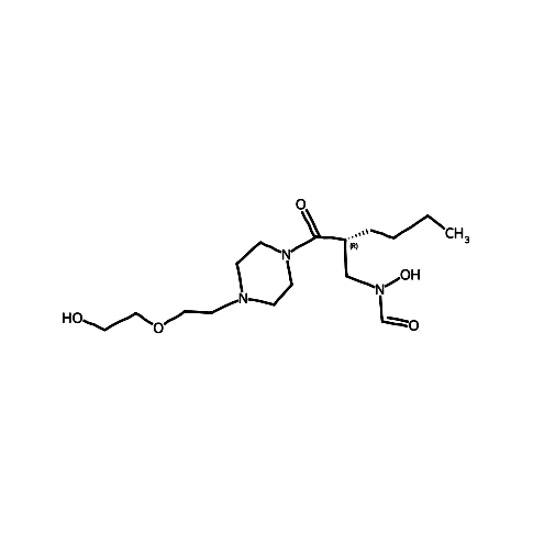 CCCC[C@H](CN(O)C=O)C(=O)N1CCN(CCOCCO)CC1